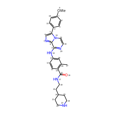 COc1ccc(-c2cnc3c(Nc4ccc(C(=O)NCCC5CCNCC5)c(C)c4)nccn23)cc1